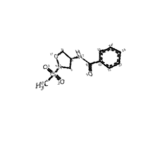 CS(=O)(=O)N1C[C@H](NC(=O)c2ccccc2)CO1